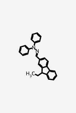 CCC1c2ccccc2-c2ccc(C=NN(c3ccccc3)c3ccccc3)cc21